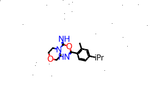 Cc1cc(C(C)C)ccc1C(=N)OC(=N)N1CCOCC1